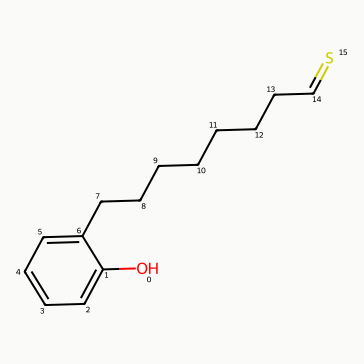 Oc1ccccc1CCCCCCCC=S